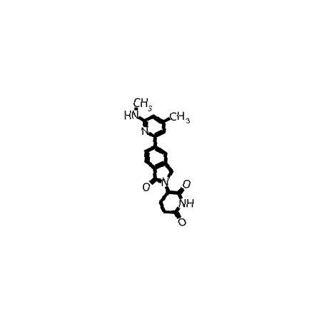 CNc1cc(C)cc(-c2ccc3c(c2)CN(C2CCC(=O)NC2=O)C3=O)n1